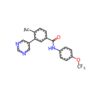 CC(=O)c1ccc(C(=O)Nc2ccc(OC(F)(F)F)cc2)cc1-c1cncnc1